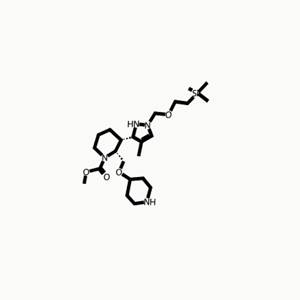 COC(=O)N1CCC[C@H](C2NN(COCC[Si](C)(C)C)C=C2C)[C@@H]1COC1CCNCC1